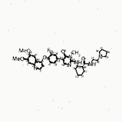 COc1cc2nccc(Oc3ccc(-c4cnc(N[C@@H]5CCCC[C@@H]5C(=O)NCCN5CCCC5)n(C)c4=O)cc3F)c2cc1OC